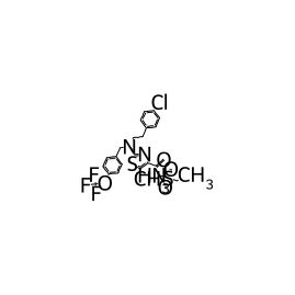 CCS(=O)(=O)NC(=O)c1nc(N(CCc2ccc(Cl)cc2)Cc2ccc(OC(F)(F)F)cc2)sc1C